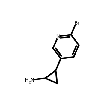 NC1CC1c1ccc(Br)nc1